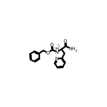 C[C@](Cc1ccccn1)(NC(=O)OCc1ccccc1)C(N)=O